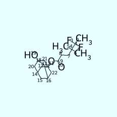 CC(F)(F)C(C)(C)CCC(=O)OC12CC3CC(CC(O)(C3)C1)C2